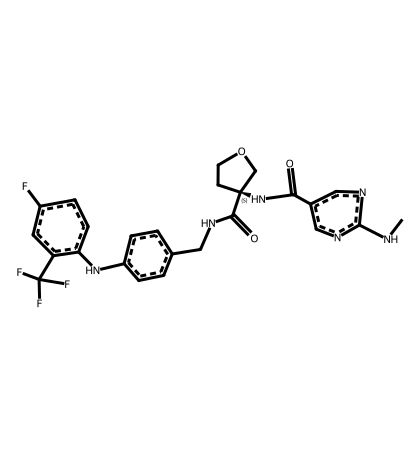 CNc1ncc(C(=O)N[C@@]2(C(=O)NCc3ccc(Nc4ccc(F)cc4C(F)(F)F)cc3)CCOC2)cn1